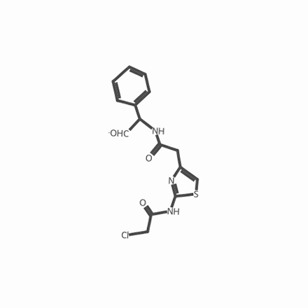 O=[C]C(NC(=O)Cc1csc(NC(=O)CCl)n1)c1ccccc1